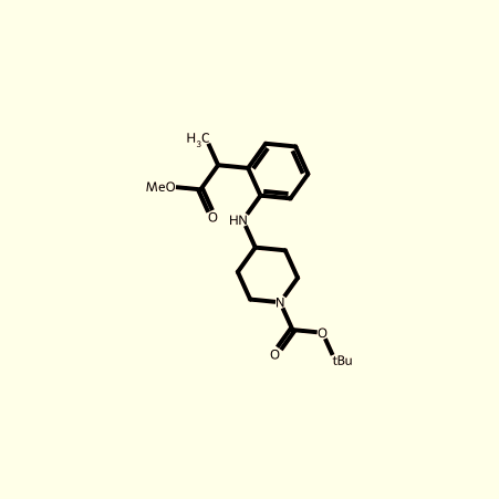 COC(=O)C(C)c1ccccc1NC1CCN(C(=O)OC(C)(C)C)CC1